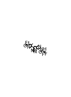 CCC(=O)c1cc(C)c(-c2cc3cnc(NC(=O)C4CC4(F)F)cc3n3ncnc23)cn1